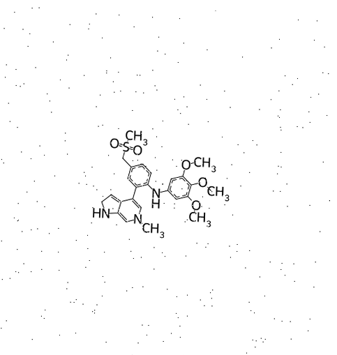 COc1cc(Nc2ccc(CS(C)(=O)=O)cc2C2=CN(C)C=C3NCC=C32)cc(OC)c1OC